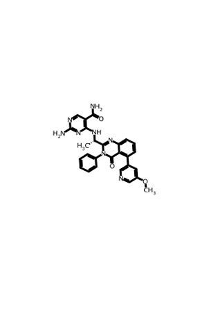 COc1cncc(-c2cccc3nc([C@H](C)Nc4nc(N)ncc4C(N)=O)n(-c4ccccc4)c(=O)c23)c1